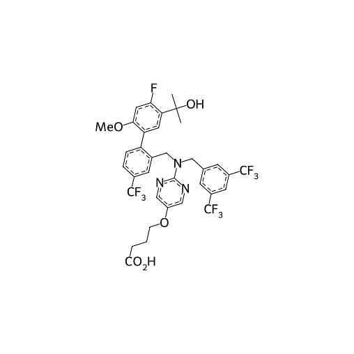 COc1cc(F)c(C(C)(C)O)cc1-c1ccc(C(F)(F)F)cc1CN(Cc1cc(C(F)(F)F)cc(C(F)(F)F)c1)c1ncc(OCCCC(=O)O)cn1